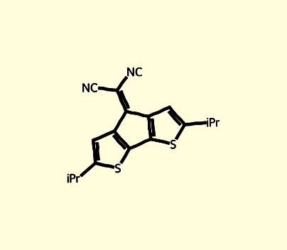 [C-]#[N+]C(C#N)=C1c2cc(C(C)C)sc2-c2sc(C(C)C)cc21